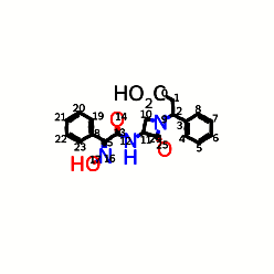 O=C(O)CC(c1ccccc1)N1CC(NC(=O)C(=NO)c2ccccc2)C1=O